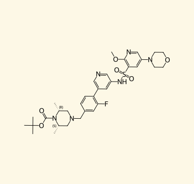 COc1ncc(N2CCOCC2)cc1S(=O)(=O)Nc1cncc(-c2ccc(CN3C[C@@H](C)N(C(=O)OC(C)(C)C)[C@@H](C)C3)cc2F)c1